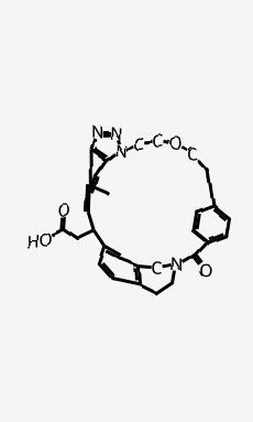 Cc1c2ccc3c1nnn3CCOCCc1ccc(cc1)C(=O)N1CCc3ccc(cc3C1)C2CC(=O)O